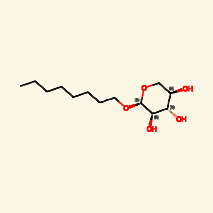 CCCCCCCCO[C@H]1OC[C@@H](O)[C@H](O)[C@H]1O